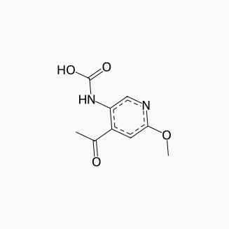 COc1cc(C(C)=O)c(NC(=O)O)cn1